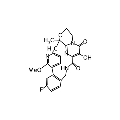 COc1ncccc1-c1cc(F)ccc1CNC(=O)c1nc2n(c(=O)c1O)CCOC2(C)C